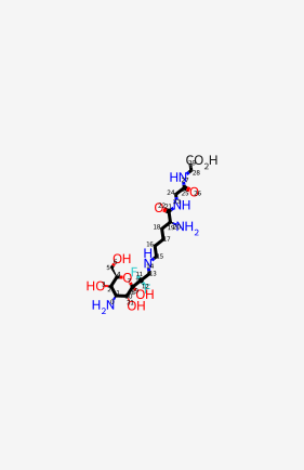 N[C@H]1[C@@H](O)[C@@H](CO)OC(O)(C(F)(F)CNCCCC[C@H](N)C(=O)NCC(=O)NCC(=O)O)[C@@H]1O